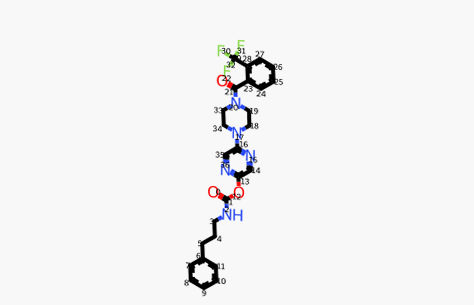 O=C(NCCCc1ccccc1)Oc1cnc(N2CCN(C(=O)c3ccccc3C(F)(F)F)CC2)cn1